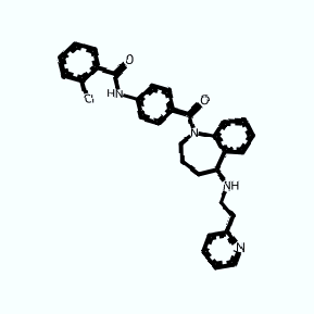 O=C(Nc1ccc(C(=O)N2CCCC(NCCc3ccccn3)c3ccccc32)cc1)c1ccccc1Cl